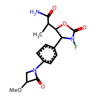 COC1CN(c2ccc(C3C(C(C)C(N)=O)OC(=O)N3F)cc2)C1=O